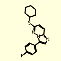 Fc1ccc(-c2cnc3ccc(SC4CCCCC4)nn23)cc1